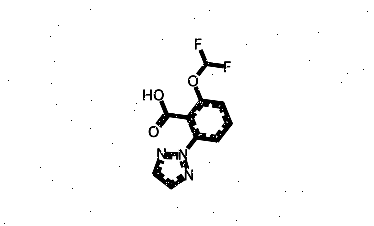 O=C(O)c1c(OC(F)F)cccc1-n1nccn1